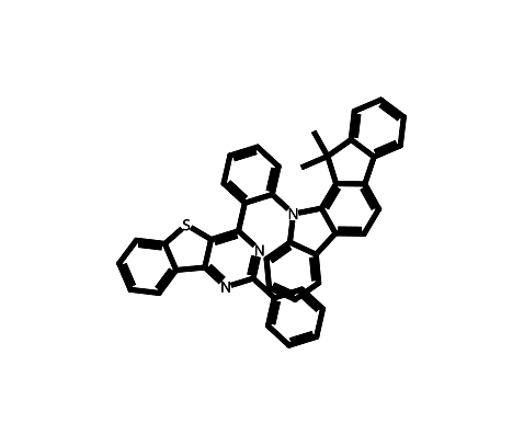 CC1(C)c2ccccc2-c2ccc3c4ccccc4n(-c4ccccc4-c4nc(-c5ccccc5)nc5c4sc4ccccc45)c3c21